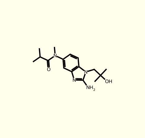 CC(C)C(=O)N(C)c1ccc2c(c1)nc(N)n2CC(C)(C)O